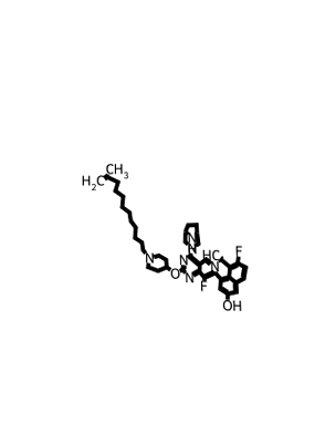 C#Cc1c(F)ccc2cc(O)cc(-c3ncc4c(N5CC6CCC(C5)N6)nc(OC5CCN(CCCCCCCCCCC(=C)C)CC5)nc4c3F)c12